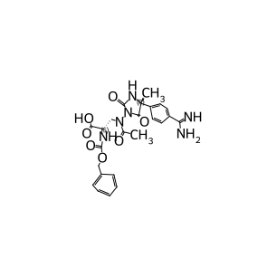 CC(=O)N(C[C@H](NC(=O)OCc1ccccc1)C(=O)O)N1C(=O)N[C@](C)(c2ccc(C(=N)N)cc2)C1=O